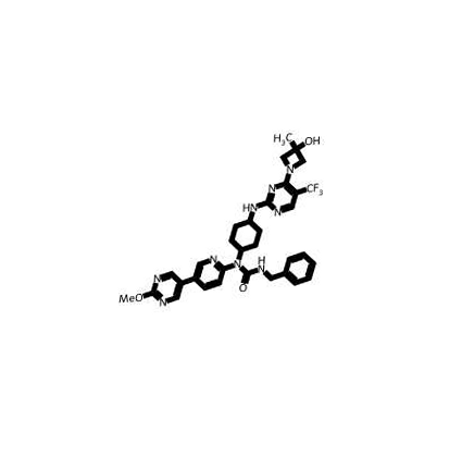 COc1ncc(-c2ccc(N(C(=O)NCc3ccccc3)C3CCC(Nc4ncc(C(F)(F)F)c(N5CC(C)(O)C5)n4)CC3)nc2)cn1